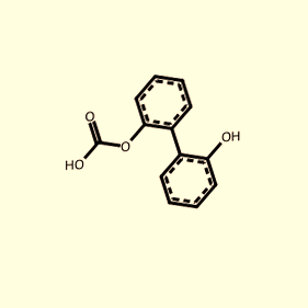 O=C(O)Oc1ccccc1-c1ccccc1O